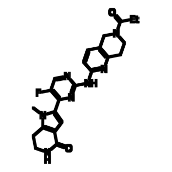 CCC(=O)N1CCc2nc(Nc3ncc(F)c(-c4cc5c(n4C)CCNC5=O)n3)ccc2C1